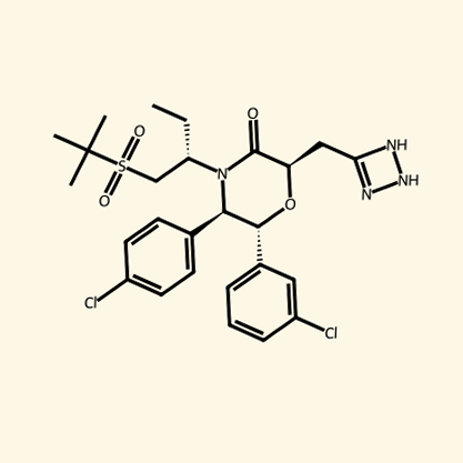 CC[C@@H](CS(=O)(=O)C(C)(C)C)N1C(=O)[C@@H](Cc2n[nH][nH]2)O[C@H](c2cccc(Cl)c2)[C@H]1c1ccc(Cl)cc1